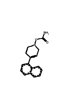 NC(=O)ON1CC=C(c2cccc3ccccc23)CC1